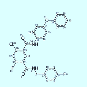 O=C(NCc1ccc(F)cc1)c1cc(C(=O)Nc2ccc(Oc3ccccc3)cn2)c(Cl)cc1F